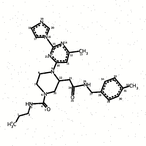 CCCNC(=O)N1CCN(c2cc(C)nc(-n3ccnc3)n2)C(CC(=O)NCc2ccc(C)cc2)C1